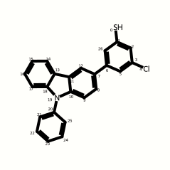 Sc1cc(Cl)cc(-c2ccc3c(c2)c2ccccc2n3-c2ccccc2)c1